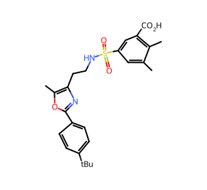 Cc1cc(S(=O)(=O)NCCc2nc(-c3ccc(C(C)(C)C)cc3)oc2C)cc(C(=O)O)c1C